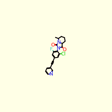 CC1CCCC2C(=O)N(c3c(F)cc(C#Cc4cccnc4)cc3Cl)C(=O)N12